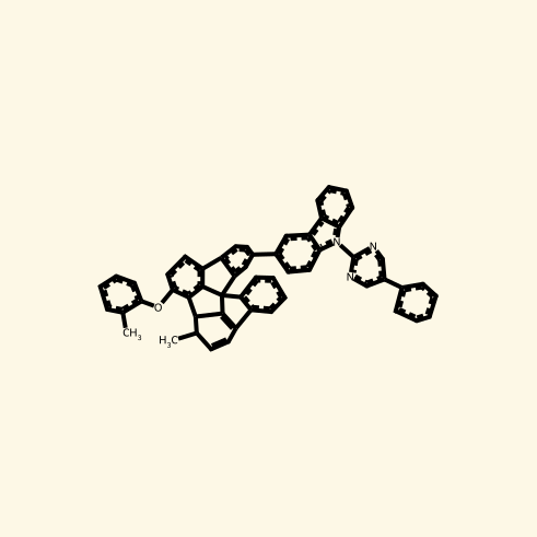 Cc1ccccc1Oc1ccc2c3c1C1C4=C(C=CC1C)c1ccccc1C43c1cc(-c3ccc4c(c3)c3ccccc3n4-c3ncc(-c4ccccc4)cn3)ccc1-2